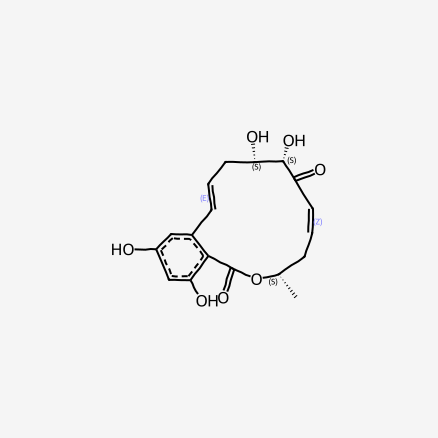 C[C@H]1C/C=C\C(=O)[C@@H](O)[C@@H](O)C/C=C/c2cc(O)cc(O)c2C(=O)O1